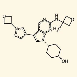 CC1(Nc2ncc3c(-c4cnn(C5COC5)c4)cc([C@H]4CC[C@H](O)CC4)n3n2)COC1